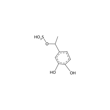 CC(OS(=O)(=O)O)c1ccc(O)c(O)c1